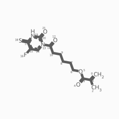 C=C(C)C(=O)OCCCCCC(=O)n1cc(F)c(=S)[nH]c1=O